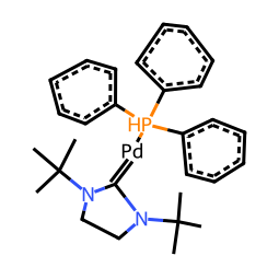 CC(C)(C)N1CCN(C(C)(C)C)[C]1=[Pd][PH](c1ccccc1)(c1ccccc1)c1ccccc1